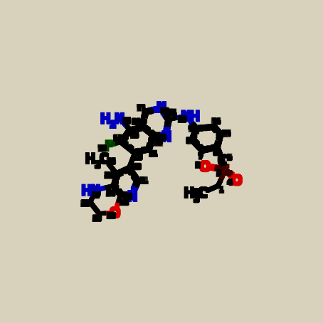 CCS(=O)(=O)Cc1ccc(Nc2ncc3c(N)c(F)c(-c4cnc5c(c4C)NCCO5)cc3n2)cc1